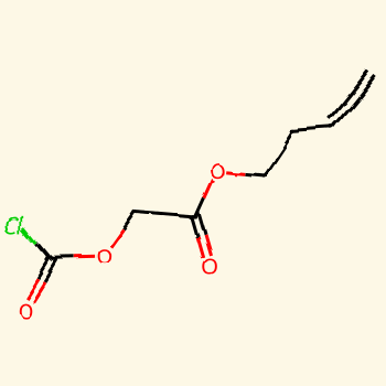 C=CCCOC(=O)COC(=O)Cl